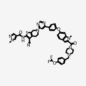 Cn1cc(C(=O)Nc2sc3c(c2C#N)CCN(c2cc(-c4ccc(Oc5ccc6cc(C(=O)N7CCN(Cc8ccc(OC(F)F)cc8)CC7)n(C)c6c5)cc4)ncn2)C3)cn1